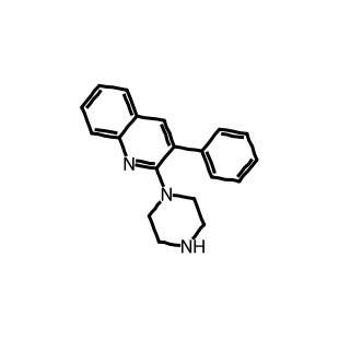 c1ccc(-c2cc3ccccc3nc2N2CCNCC2)cc1